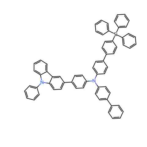 c1ccc(-c2ccc(N(c3ccc(-c4ccc([Si](c5ccccc5)(c5ccccc5)c5ccccc5)cc4)cc3)c3ccc(-c4ccc5c(c4)c4ccccc4n5-c4ccccc4)cc3)cc2)cc1